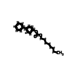 CCCCCCCCOC(=O)Oc1ccc(-c2cc[c]cc2)cc1